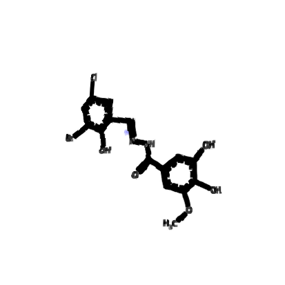 COc1cc(C(=O)N/N=C/c2cc(Cl)cc(Br)c2O)cc(O)c1O